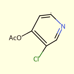 CC(=O)Oc1c[c]ncc1Cl